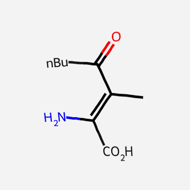 CCCCC(=O)C(C)=C(N)C(=O)O